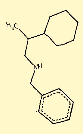 CC(CNCc1[c]cccc1)C1CCCCC1